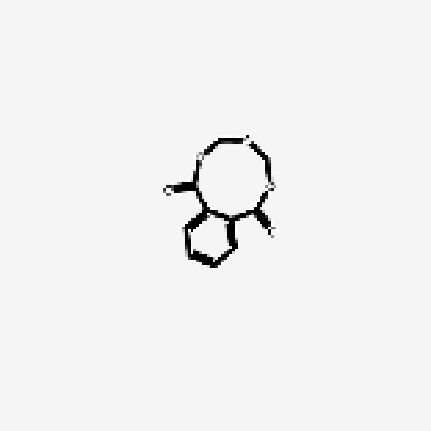 O=C1OCSCOC(=O)c2ccccc21